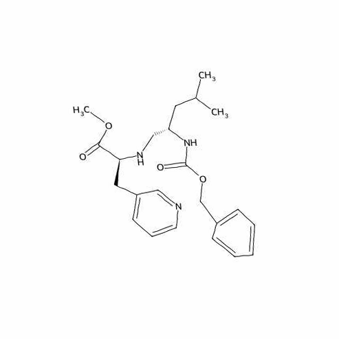 COC(=O)[C@H](Cc1cccnc1)NC[C@H](CC(C)C)NC(=O)OCc1ccccc1